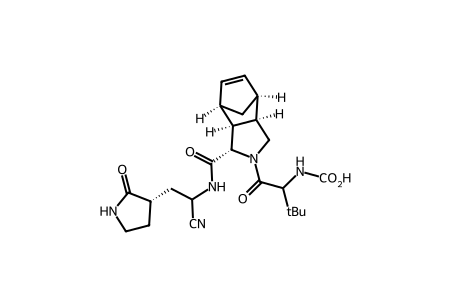 CC(C)(C)C(NC(=O)O)C(=O)N1C[C@H]2[C@@H]([C@H]1C(=O)NC(C#N)C[C@@H]1CCNC1=O)[C@H]1C=C[C@@H]2C1